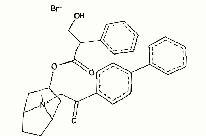 C[N+]1(CC(=O)c2ccc(-c3ccccc3)cc2)C2CCC1CC(OC(=O)C(CO)c1ccccc1)C2.[Br-]